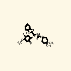 COc1cc(F)c(C[C@@H](NC(=O)N[C@H]2CC[C@](C)(O)CC2)c2nc3ccccc3[nH]2)cc1F